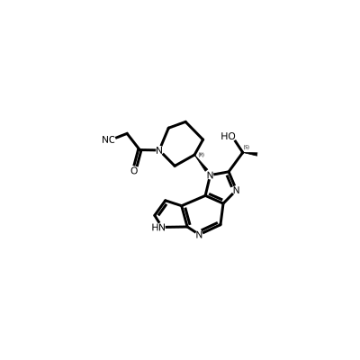 C[C@H](O)c1nc2cnc3[nH]ccc3c2n1[C@@H]1CCCN(C(=O)CC#N)C1